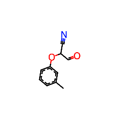 Cc1cccc(OC(C#N)C=O)c1